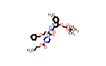 CCCCOC(=O)N1CCN(C(=O)[C@H](CCOCc2ccccc2)NC(=O)c2cc(OCC(=O)OC(C)(C)C)c3ccc(C)cc3n2)CC1